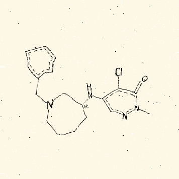 Cn1ncc(N[C@@H]2CCCCN(Cc3ccccc3)C2)c(Cl)c1=O